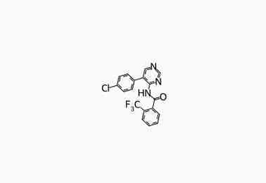 O=C(Nc1ncncc1-c1ccc(Cl)cc1)c1ccccc1C(F)(F)F